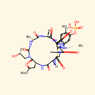 CC[C@@H](O)CN1C(=O)N[C@@H]([C@@H](C)CC)C(=O)N[C@H]2Cc3c([nH]c4cc(OP(=O)(O)O)c([N+](=O)[O-])cc34)SC[C@H](NC(=O)CNC(=O)[C@H]([C@@H](C)CC)NC(=O)CNC2=O)C(=O)N[C@@H](CC(=O)OC)C1=O